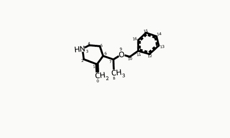 C=C1CNCCC1C(C)OCc1ccccc1